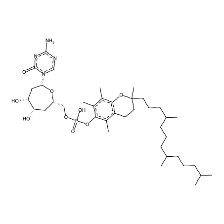 Cc1c(C)c2c(c(C)c1OP(=O)(O)OC[C@@H]1C[C@H](O)[C@H](O)C[C@H](n3cnc(N)nc3=O)O1)CCC(C)(CCCC(C)CCCC(C)CCCC(C)C)O2